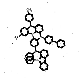 Cc1ccc(N2c3ccc(C)cc3B3c4ccc(N(c5ccccc5)c5cccc6c7ccccc7n(C7C=CC=CC7)c56)cc4N(c4ccc(-c5ccccc5)cc4)c4cccc2c43)cc1